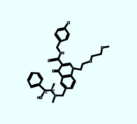 COCCOCCn1cc(C(=O)NCc2ccc(Cl)cc2)c(=O)c2cc(CN(C)[C@H](C)[C@@H](O)c3ccccc3)ccc21